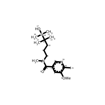 COc1cc(C(=O)N(C)CCCC(C)(C)[Si](C)(C)O)cnc1I